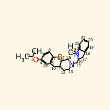 CC(C)Oc1ccc(Br)c(CC2CCN(CC3Cc4ccccc4N3C)CC2)c1